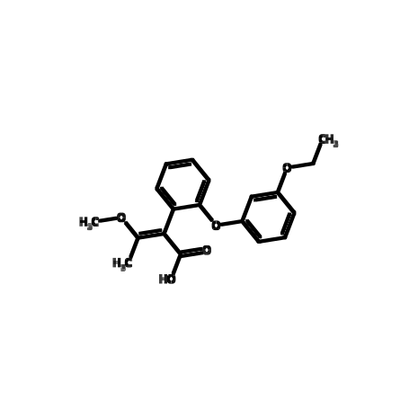 CCOc1cccc(Oc2ccccc2C(C(=O)O)=C(C)OC)c1